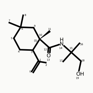 C=C(C)C1CCC(C)(C)C[C@]1(C)C(=O)NC(C)(C)CO